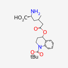 CC(CC(=O)OC1CCN(C(=O)OC(C)(C)C)c2ccccc21)C[C@H](N)C(=O)O